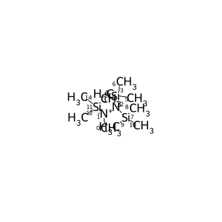 C[N+](N([Si](C)(C)C)[Si](C)(C)C)[Si](C)(C)C